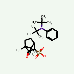 CC(C)(C)I(c1ccccc1)C(C)(C)C.CC12CCC(C(S(=O)(=O)O)C1=O)C2(C)C